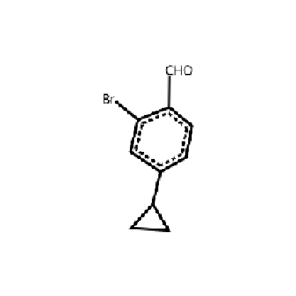 O=Cc1ccc(C2CC2)cc1Br